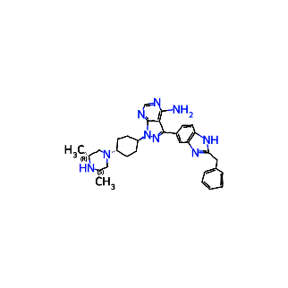 C[C@@H]1CN([C@H]2CC[C@H](n3nc(-c4ccc5[nH]c(Cc6ccccc6)nc5c4)c4c(N)ncnc43)CC2)C[C@H](C)N1